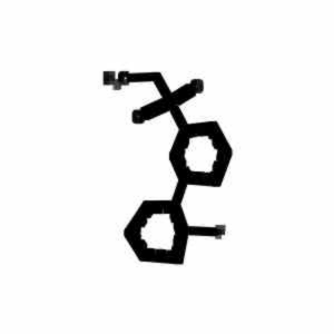 CCS(=O)(=O)c1cccc(-c2ccccc2F)c1